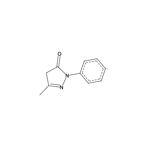 CC1=NN(c2cc[c]cc2)C(=O)C1